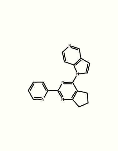 c1ccc(-c2nc3c(c(-n4ccc5cnccc54)n2)CCC3)nc1